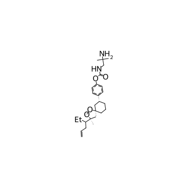 C=CCC(CC)[C@]1(C)C[C@]2(CCC[C@@H](c3ccc(OC(=O)NCC(C)(C)N)cc3)C2)OO1